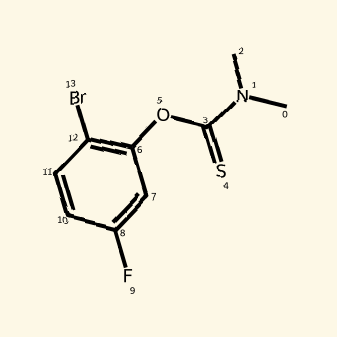 CN(C)C(=S)Oc1cc(F)ccc1Br